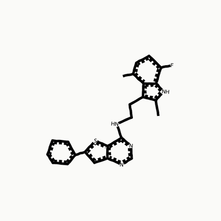 Cc1[nH]c2c(F)ccc(C)c2c1CCNc1ncnc2cc(-c3ccccc3)sc12